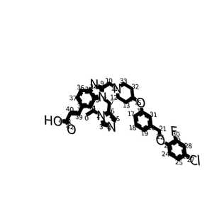 CCn1cncc1Cn1c(CN2CCC(Oc3cccc(COc4ccc(Cl)cc4F)c3)CC2)nc2ccc(/C=C/C(=O)O)cc21